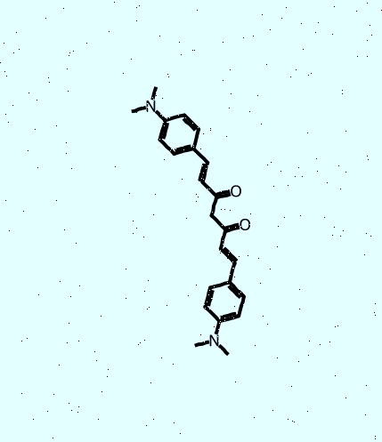 CN(C)c1ccc(/C=C/C(=O)CC(=O)/C=C/c2ccc(N(C)C)cc2)cc1